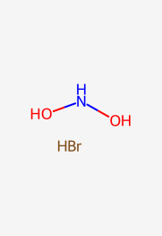 Br.ONO